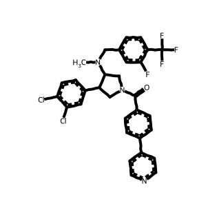 CN(Cc1ccc(C(F)(F)F)c(F)c1)C1CN(C(=O)c2ccc(-c3ccncc3)cc2)CC1c1ccc(Cl)c(Cl)c1